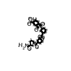 NC(=O)C1CCCN(C(=O)c2ccc3nc(-c4cccc(N5C(=O)c6ccc(C(=O)O)cc6C5=O)c4)oc3c2)C1